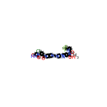 CC1(O)c2cc3nn(C4CCN(CCN5CCC6(CC5)CCN(C(=O)c5ccc(Cl)c(N7CCC(=O)NC7=O)c5)CC6)CC4)cc3cc2N1C(=O)c1cccc(C(F)(F)F)n1